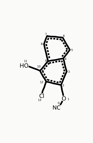 N#COc1cc2ccccc2c(O)c1Cl